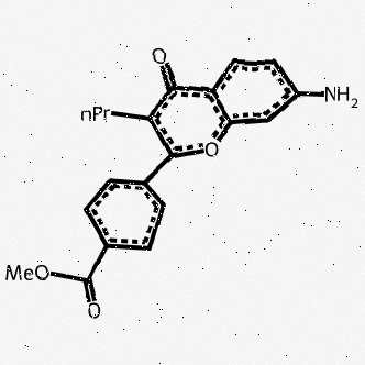 CCCc1c(-c2ccc(C(=O)OC)cc2)oc2cc(N)ccc2c1=O